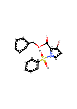 O=C(OCc1ccccc1)c1c(Br)ccn1S(=O)(=O)c1ccccc1